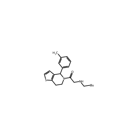 CCC(C)CNCC(=O)N1CCc2sccc2C1c1cccc(C)c1